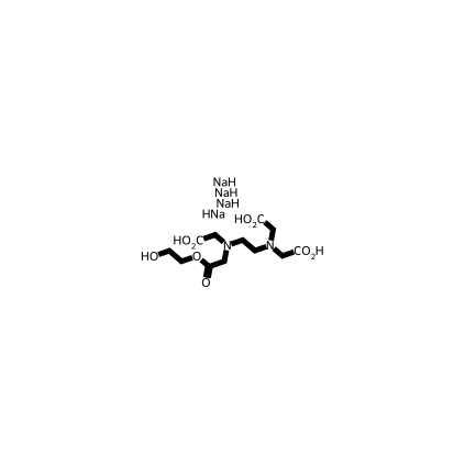 O=C(O)CN(CCN(CC(=O)O)CC(=O)OCCO)CC(=O)O.[NaH].[NaH].[NaH].[NaH]